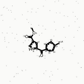 COC(=O)c1c[nH]c(C(=O)c2ccc(F)cc2)c1